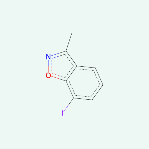 Cc1noc2c(I)cccc12